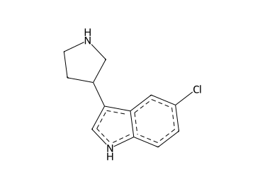 Clc1ccc2[nH]cc(C3CCNC3)c2c1